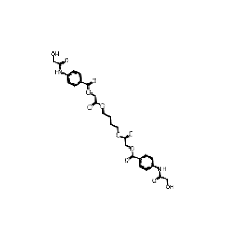 O=C(CO)Nc1ccc(C(=O)OCC(=O)OCCCCOC(=O)COC(=O)c2ccc(NC(=O)CO)cc2)cc1